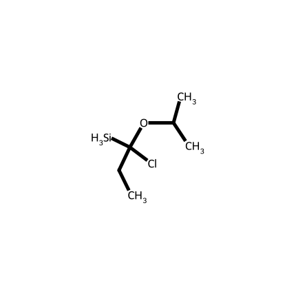 CCC([SiH3])(Cl)OC(C)C